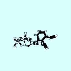 [C]#CC1=C(C#[C])C(=[SiH][SiH](C)O[Si](C)(C)O[Si](C)(C)C)CC=C1